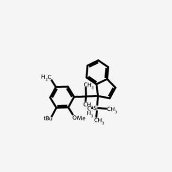 COc1c(C(C)(C)C)cc(C)cc1C(C)(C)C1([Si](C)(C)C)C=Cc2ccccc21